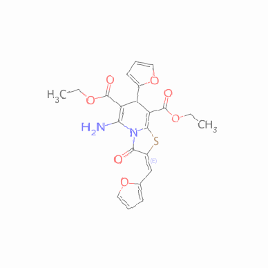 CCOC(=O)C1=C(N)n2c(s/c(=C/c3ccco3)c2=O)=C(C(=O)OCC)C1c1ccco1